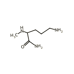 CNC(CCCN)C(N)=O